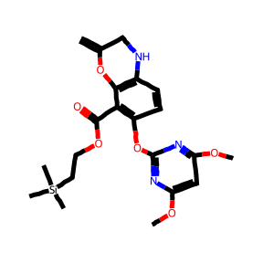 C=C1CNc2ccc(Oc3nc(OC)cc(OC)n3)c(C(=O)OCC[Si](C)(C)C)c2O1